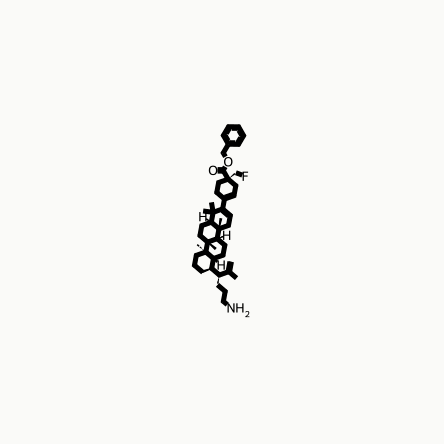 C=C(C)[C@H](CCCN)[C@H]1CCC[C@]2(C)[C@@H]1CC[C@@H]1[C@@]3(C)CC=C(C4=CC[C@](CF)(C(=O)OCc5ccccc5)CC4)C(C)(C)[C@@H]3CC[C@]12C